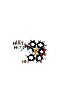 Br.Br.O=C(O)CC(F)(F)CCP(c1ccccc1)(c1ccccc1)(c1ccccc1)P(CCCC(F)(F)C(=O)O)(c1ccccc1)(c1ccccc1)c1ccccc1